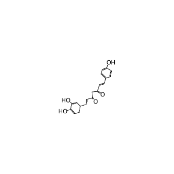 O=C(/C=C/c1ccc(O)cc1)CC(=O)/C=C/C1C=C(O)C(O)=CC1